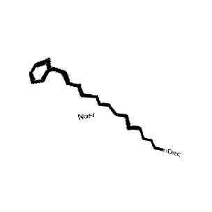 CCCCCCCCCCCCCCCCCCCCCCCCc1ccccc1.[NaH]